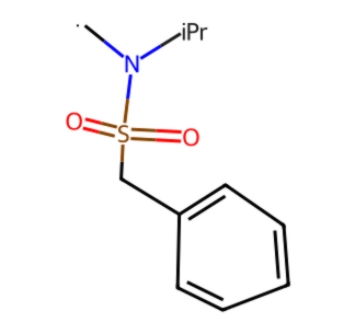 [CH2]N(C(C)C)S(=O)(=O)Cc1ccccc1